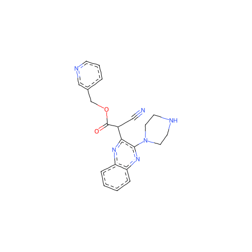 N#CC(C(=O)OCc1cccnc1)c1nc2ccccc2nc1N1CCNCC1